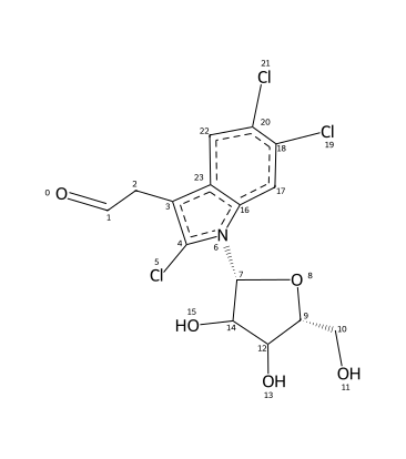 O=CCc1c(Cl)n([C@@H]2O[C@H](CO)C(O)C2O)c2cc(Cl)c(Cl)cc12